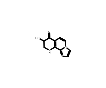 O=C1c2ccn3ccnc3c2NCC1O